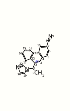 CC(/C(=C/c1ccc(C#N)cc1)c1ccccc1)n1ccnc1